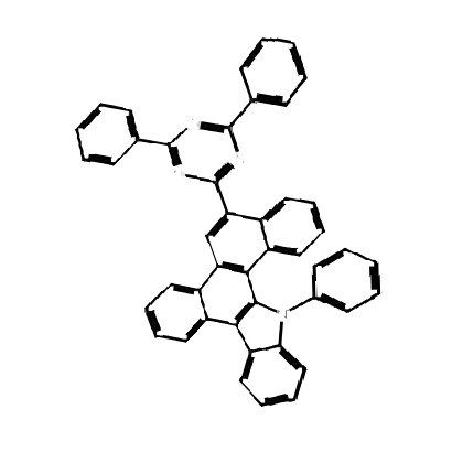 c1ccc(-c2nc(-c3ccccc3)nc(-c3cc4c5ccccc5c5c6ccccc6n(-c6ccccc6)c5c4c4ccccc34)n2)cc1